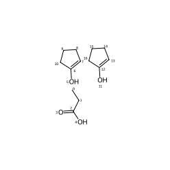 CCC(=O)O.OC1=CCCC1.OC1=CCCC1